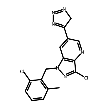 Cc1cccc(Cl)c1Cn1nc(Cl)c2ncc(C3=NN=NC3)cc21